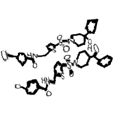 O=C(NCc1ccc(S(=O)(=O)N2CCC(C(=O)c3ccccc3)CC2)s1)c1ccc(Cl)cc1.O=C(NCc1ccc(S(=O)(=O)N2CCC(O)(c3ccccc3)CC2)s1)c1ccc(Cl)cc1